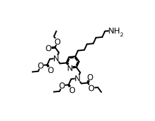 CCOC(=O)CN(CC(=O)OCC)Cc1cc(CCCCCCCN)cc(CN(CC(=O)OCC)CC(=O)OCC)n1